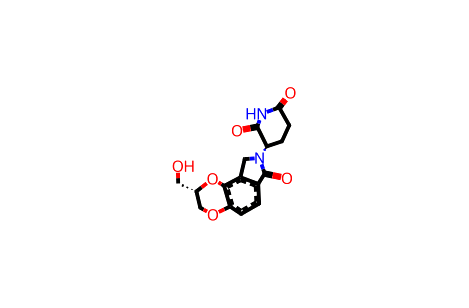 O=C1CC[C@H](N2Cc3c(ccc4c3O[C@@H](CO)CO4)C2=O)C(=O)N1